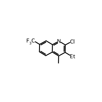 [CH2]Cc1c(Cl)nc2cc(C(F)(F)F)ccc2c1C